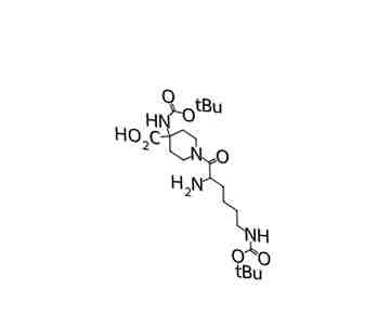 CC(C)(C)OC(=O)NCCCCC(N)C(=O)N1CCC(NC(=O)OC(C)(C)C)(C(=O)O)CC1